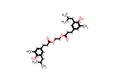 Cc1cc(CCC(=O)OCCOC(=O)CCc2cc(C)c(O)c(CC(C)C)c2)cc(CC(C)C)c1O